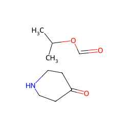 CC(C)OC=O.O=C1CCNCC1